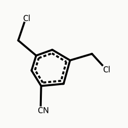 N#Cc1cc(CCl)cc(CCl)c1